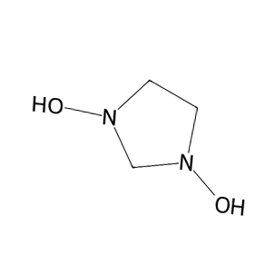 ON1CCN(O)C1